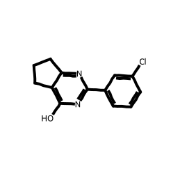 Oc1nc(-c2cccc(Cl)c2)nc2c1CCC2